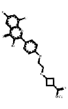 COC(=O)C1CC(OCCOc2ccc(-c3oc4c(Cl)cc(F)cc4c(=O)c3Br)cc2)C1